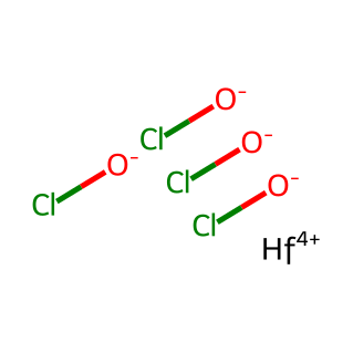 [Hf+4].[O-]Cl.[O-]Cl.[O-]Cl.[O-]Cl